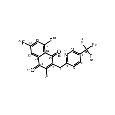 CC1=C(Cc2ccc(C(F)(F)F)cn2)C(=O)c2c(F)cc(F)cc2C1=O